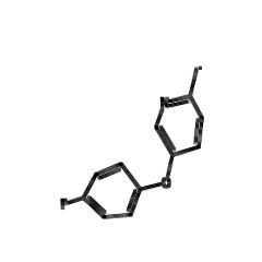 [CH2]c1ccc(Oc2ccc(F)cc2)cn1